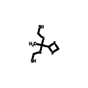 CC(SCS)(SCS)C1SCS1